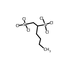 CCCCC(C[Si](Cl)(Cl)Cl)[Si](Cl)(Cl)Cl